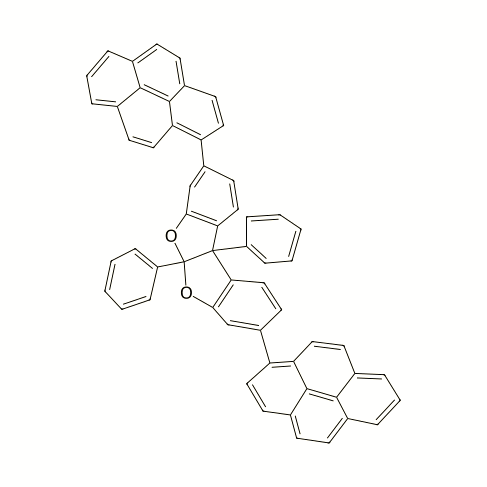 c1ccc(C23Oc4cc(-c5ccc6ccc7cccc8ccc5c6c78)ccc4C2(c2ccccc2)c2ccc(-c4ccc5ccc6cccc7ccc4c5c67)cc2O3)cc1